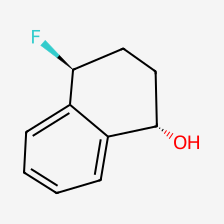 O[C@H]1CC[C@H](F)c2ccccc21